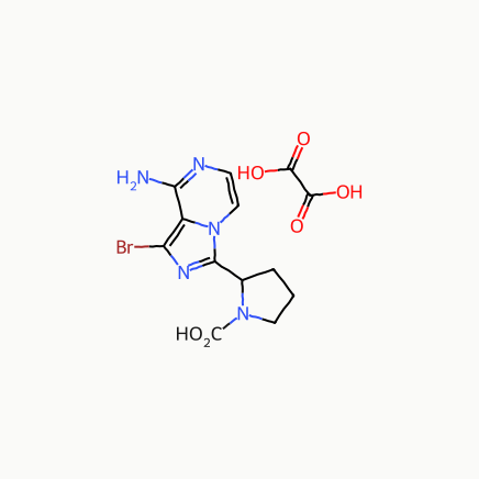 Nc1nccn2c(C3CCCN3C(=O)O)nc(Br)c12.O=C(O)C(=O)O